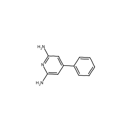 Nc1cc(-c2ccccc2)cc(N)n1